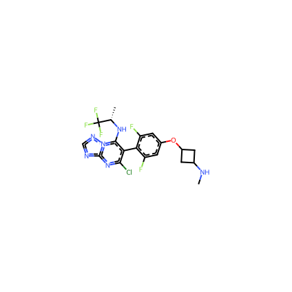 CNC1CC(Oc2cc(F)c(-c3c(Cl)nc4ncnn4c3N[C@@H](C)C(F)(F)F)c(F)c2)C1